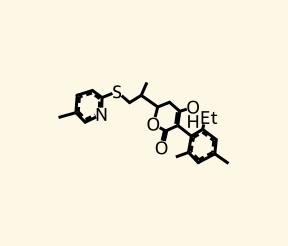 CCc1cc(C)cc(C)c1C1=C(O)CC(C(C)CSc2ccc(C)cn2)OC1=O